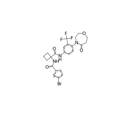 O=C(NC1(C(=O)Nc2ccc(N3CCOCCC3=O)c(C(F)(F)F)c2)CCC1)c1ccc(Br)s1